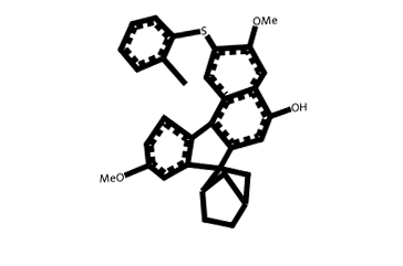 COc1ccc2c(c1)C1(CC3CCC1C3)c1cc(O)c3cc(OC)c(Sc4ccccc4C)cc3c1-2